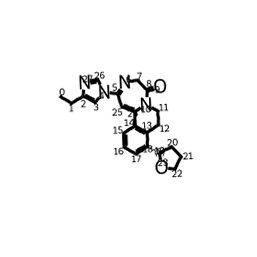 CCc1cn(C2=NCC(=O)N3CCc4c(cccc4[C@@H]4CCCO4)C3=C2)cn1